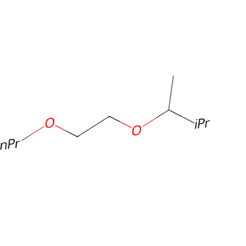 CCCOCCOC(C)C(C)C